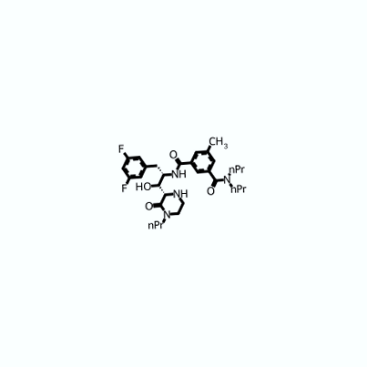 CCCN(CCC)C(=O)c1cc(C)cc(C(=O)N[C@@H](Cc2cc(F)cc(F)c2)C(O)[C@@H]2NCCN(CCC)C2=O)c1